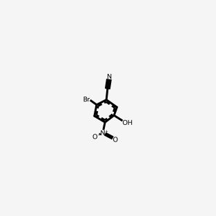 N#Cc1cc(O)c([N+](=O)[O-])cc1Br